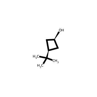 CC(C)(C)[C@H]1C[C@@H](O)C1